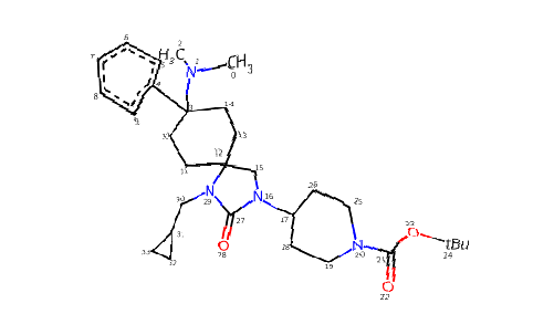 CN(C)C1(c2ccccc2)CCC2(CC1)CN(C1CCN(C(=O)OC(C)(C)C)CC1)C(=O)N2CC1CC1